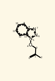 C=C(C)COn1nnc2ccccc21